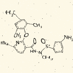 Cc1cc(C)c(Oc2nc(C(C)(C)C)ccc2C(=O)NN(C)[S+]([O-])c2cccc(N)c2)c(C)c1